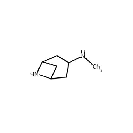 CNC1CC2CC(C1)N2